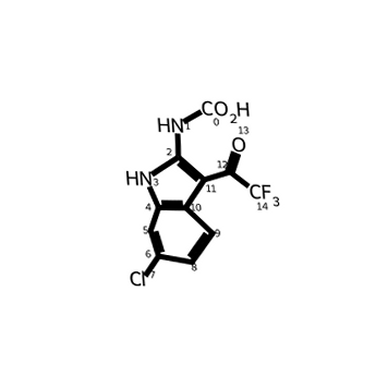 O=C(O)Nc1[nH]c2cc(Cl)ccc2c1C(=O)C(F)(F)F